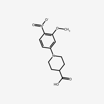 COc1cc(N2CCC(C(=O)O)CC2)ccc1[N+](=O)[O-]